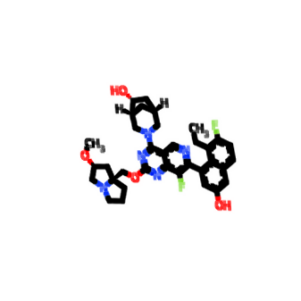 CCc1c(F)ccc2cc(O)cc(-c3ncc4c(N5C[C@@H]6C[C@H](C5)[C@H](O)C6)nc(OC[C@@]56CCCN5C[C@@H](OC)C6)nc4c3F)c12